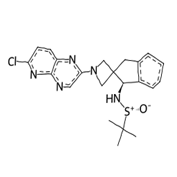 CC(C)(C)[S@@+]([O-])N[C@@H]1c2ccccc2CC12CN(c1cnc3nc(Cl)ccc3n1)C2